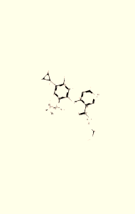 CCONC(=O)c1cnccc1Nc1cc(F)c(C2CC2)cc1N(C)S(C)(=O)=O